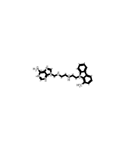 Cc1cccc2c3ccccc3n(CCNCCOCn3cnc4c(N)ncnc43)c12